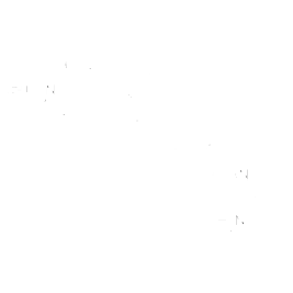 C=C(N)NCCCCCC(=O)C1CCN(C(C)(C)C)CC1